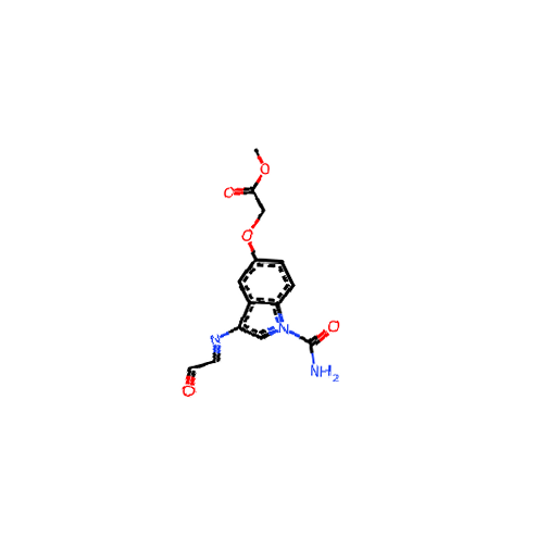 COC(=O)COc1ccc2c(c1)c(N=CC=O)cn2C(N)=O